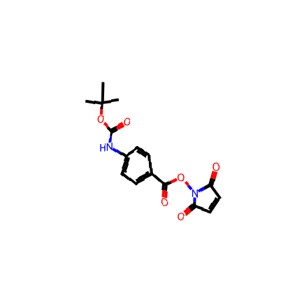 CC(C)(C)OC(=O)Nc1ccc(C(=O)ON2C(=O)C=CC2=O)cc1